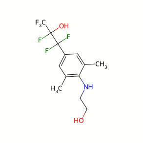 Cc1cc(C(F)(F)C(O)(F)C(F)(F)F)cc(C)c1NCCO